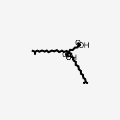 CC(C)CCCCCCCCCCCCCC(CCCCCCCCCCCCCC(C)C)(CCCCC(=O)O)C(=O)O